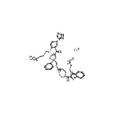 CCOCCn1c(NC2CCN(CCC3(c4ccccc4)CCN(C(=O)c4cc(-n5cnnn5)ccc4OCCCC(=O)[O-])C3)CC2)nc2ccccc21.[Li+]